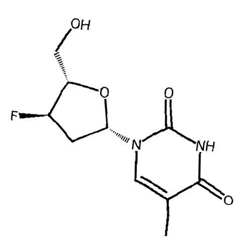 Cc1cn([C@@H]2C[C@@H](F)[C@H](CO)O2)c(=O)[nH]c1=O